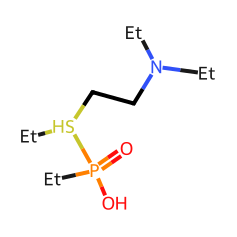 CCN(CC)CC[SH](CC)P(=O)(O)CC